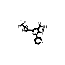 O=c1[nH]cnc2c(-c3cccnc3)nc(-c3cnc(C(F)(F)F)s3)cc12